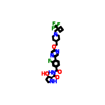 O=C(NC(=O)[C@H]1NCC[C@@H]1O)c1ccc(-c2cnc(OCC3CCN(CC4(C(F)(F)F)CCC4)CC3)cn2)c(F)c1